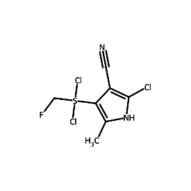 Cc1[nH]c(Cl)c(C#N)c1S(Cl)(Cl)CF